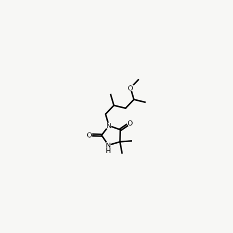 COC(C)CC(C)CN1C(=O)NC(C)(C)C1=O